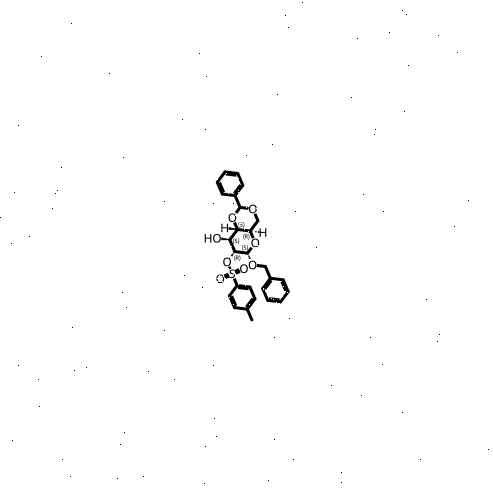 Cc1ccc(S(=O)(=O)O[C@H]2[C@@H](OCc3ccccc3)O[C@@H]3COC(c4ccccc4)O[C@H]3[C@@H]2O)cc1